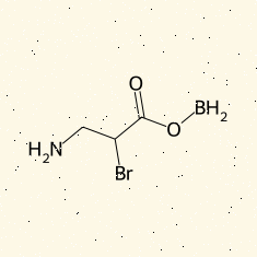 BOC(=O)C(Br)CN